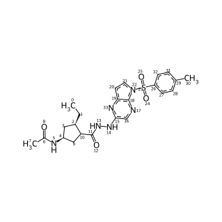 CC[C@@H]1C[C@H](NC(C)=O)CC1C(=O)NNc1cnc2c(ccn2S(=O)(=O)c2ccc(C)cc2)n1